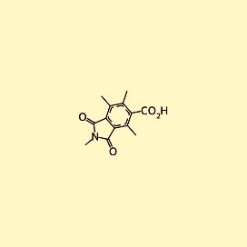 Cc1c(C)c2c(c(C)c1C(=O)O)C(=O)N(C)C2=O